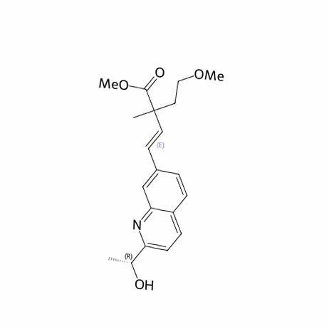 COCCC(C)(/C=C/c1ccc2ccc([C@@H](C)O)nc2c1)C(=O)OC